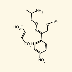 CCCOCC(=NOCC(C)N)c1ccc([N+](=O)[O-])cc1.O=C(O)C=CC(=O)O